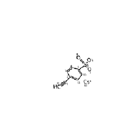 C#Cc1ccc(S(=O)(=O)[O-])cc1.[Cs+]